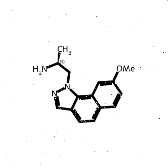 COc1ccc2ccc3cnn(C[C@H](C)N)c3c2c1